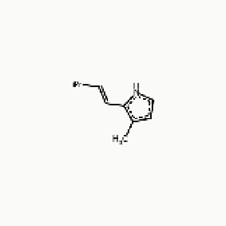 Cc1cc[nH]c1/C=C/C(C)C